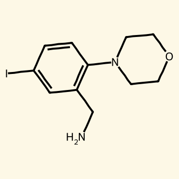 NCc1cc(I)ccc1N1CCOCC1